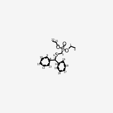 CCOP(=O)(CSC(c1ccccc1)c1ccccc1)OCC